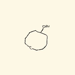 CC(C)COC1CCCCCCCCC1